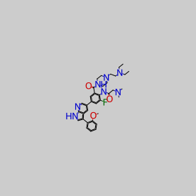 CCN(CC)CCN1CCN(C(=O)c2cc(-c3cnc4[nH]cc(-c5ccccc5OC)c4c3)cc(F)c2NC(=O)CN(C)C)CC1